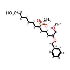 CCCOCC(CCCC(CCCCCCC(=O)O)S(C)(=O)=O)OCc1ccccc1